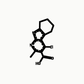 Cc1nc2sc3c(c2c(Cl)c1C(=O)O)CCCC3